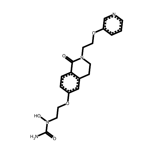 NC(=O)N(O)CCOc1ccc2c(c1)CCN(CCOc1cccnc1)C2=O